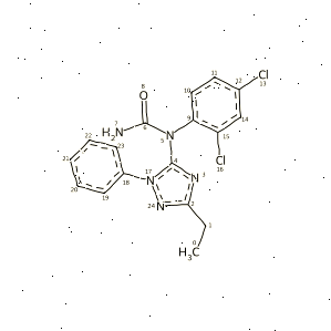 CCc1nc(N(C(N)=O)c2ccc(Cl)cc2Cl)n(-c2ccccc2)n1